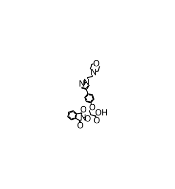 O=C(O)C(COc1ccc(-c2cnn(CCN3CCOCC3)c2)cc1)ON1C(=O)c2ccccc2C1=O